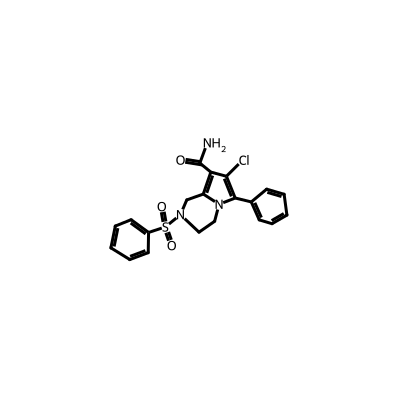 NC(=O)c1c(Cl)c(-c2ccccc2)n2c1CN(S(=O)(=O)c1ccccc1)CC2